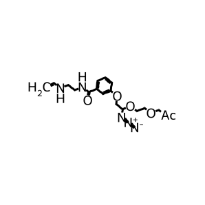 C=CNCCNC(=O)c1cccc(OCC(N=[N+]=[N-])OCCOCC(C)=O)c1